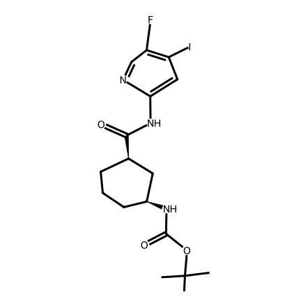 CC(C)(C)OC(=O)N[C@H]1CCC[C@@H](C(=O)Nc2cc(I)c(F)cn2)C1